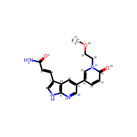 NC(=O)/C=C/c1c[nH]c2ncc(-c3ccc(=O)n(CCOC(F)(F)F)c3)cc12